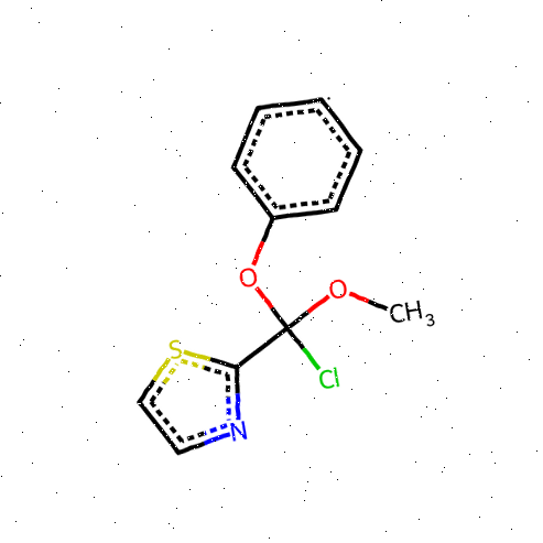 COC(Cl)(Oc1cc[c]cc1)c1nccs1